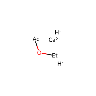 CCOC(C)=O.[Ca+2].[H-].[H-]